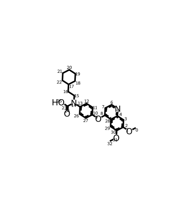 COc1cc2nccc(Oc3ccc(N(CCC4CCCCC4)C(=O)O)cc3)c2cc1OC